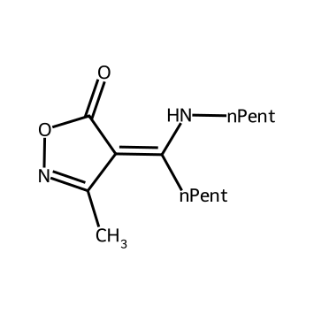 CCCCCNC(CCCCC)=C1C(=O)ON=C1C